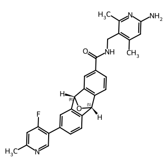 Cc1cc(F)c(-c2ccc3c(c2)[C@H]2O[C@@H]3c3ccc(C(=O)NCc4c(C)cc(N)nc4C)cc32)cn1